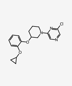 Clc1cncc(N2CCCC(Oc3ccccc3OC3CC3)C2)n1